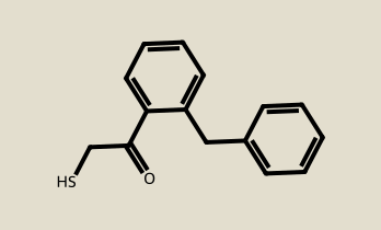 O=C(CS)c1ccccc1Cc1ccccc1